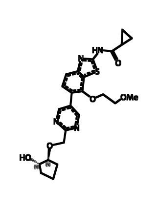 COCCOc1c(-c2cnc(CO[C@H]3CCC[C@@H]3O)nc2)ccc2nc(NC(=O)C3CC3)sc12